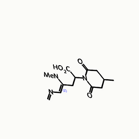 C=N/C=C(/CC(C(=O)O)N1C(=O)CC(C)CC1=O)NC